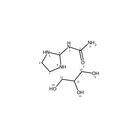 NC(=O)NC1NCCN1.OCC(O)CO